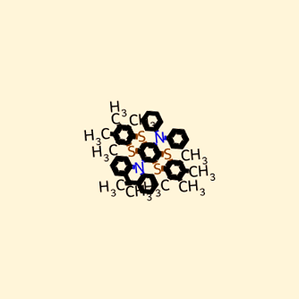 Cc1c(C)c(C)c2sc3c(N4C5=C(CCC=C5)C(C)(C)c5ccccc54)c4sc5c(C)c(C)c(C)c(C)c5sc4c(N(C4=CCCC=C4)c4ccccc4)c3sc2c1C